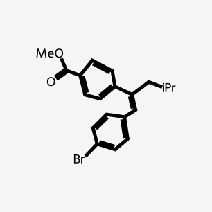 COC(=O)c1ccc(/C(=C\c2ccc(Br)cc2)CC(C)C)cc1